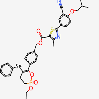 CCOP1(=O)CCC([Se]c2ccccc2)=C(c2ccc(COC(=O)c3sc(-c4ccc(OCC(C)C)c(C#N)c4)nc3C)cc2)O1